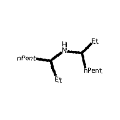 CCCCCC(CC)NC(CC)CCCCC